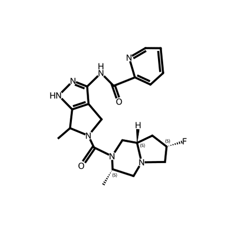 CC1c2[nH]nc(NC(=O)c3ccccn3)c2CN1C(=O)N1C[C@@H]2C[C@H](F)CN2C[C@@H]1C